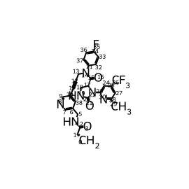 C=CC(=O)NCc1cncc(C#CCN(C(=O)[C@@H]2CNC(=O)N2c2cc(C(F)(F)F)cc(C)n2)c2ccc(F)cc2)c1